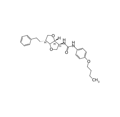 CCCCOc1ccc(NC(=O)N[C@H]2COC3[C@H](CCc4ccccc4)CO[C@@H]32)cc1